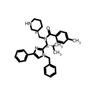 Cc1ccc(C(=O)N(C[C@@H]2CCCNC2)[C@@H](c2nc(-c3ccccc3)cn2Cc2ccccc2)C(C)C)cc1